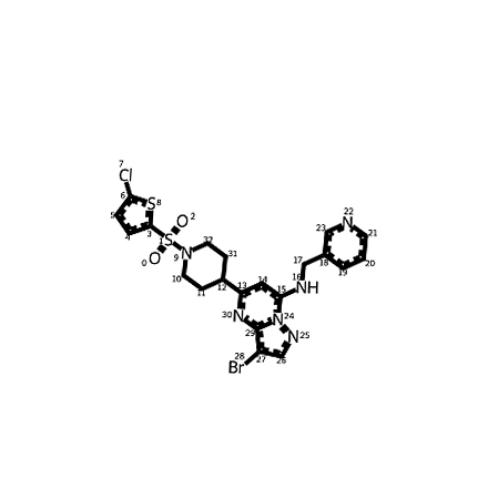 O=S(=O)(c1ccc(Cl)s1)N1CCC(c2cc(NCc3cccnc3)n3ncc(Br)c3n2)CC1